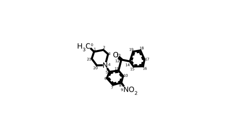 CC1CCN(c2ccc([N+](=O)[O-])cc2C(=O)c2ccccc2)CC1